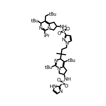 CC(C)C1=NC(C(C)(C)C)C(CC(C)(C)C)=C2CC(NS(=O)(=O)c3ccn(CCC(C)(C)C4N=C(C(C)(C)C)N5CC(NS(=O)(=O)c6ncc[nH]6)CC5=C4C(C)(C)C)n3)CN12